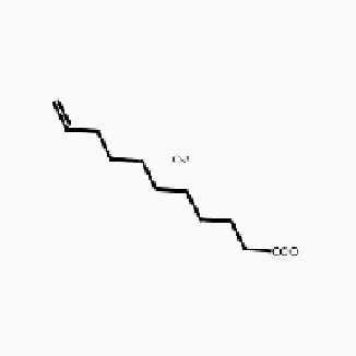 C=CCCCCCCCCC(=O)[O-].[Cs+]